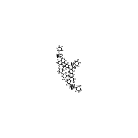 c1ccc(-c2nnc(-c3cccc4c(N(c5ccccc5)c5ccc(-c6nc7ccccc7nc6-c6ccc(N(c7ccccc7)c7cccc8c(-c9nnc(-c%10ccccc%10)o9)cccc78)cc6)cc5)cccc34)o2)cc1